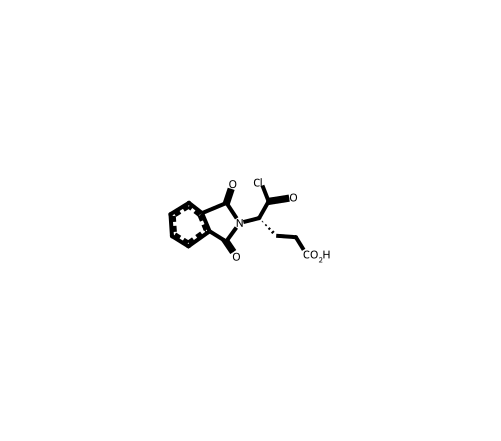 O=C(O)CC[C@@H](C(=O)Cl)N1C(=O)c2ccccc2C1=O